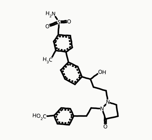 Cc1cc(S(N)(=O)=O)ccc1-c1cccc(C(O)CCN2CCC(=O)N2CCc2ccc(C(=O)O)cc2)c1